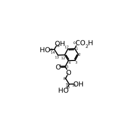 O=C(O)c1ccc(C(=O)OCC(O)O)c(CC(O)O)c1